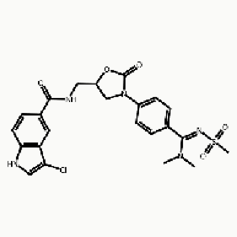 CN(C)C(=NS(C)(=O)=O)c1ccc(N2CC(CNC(=O)c3ccc4[nH]cc(Cl)c4c3)OC2=O)cc1